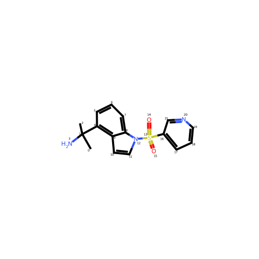 CC(C)(N)c1cccc2c1ccn2S(=O)(=O)c1cccnc1